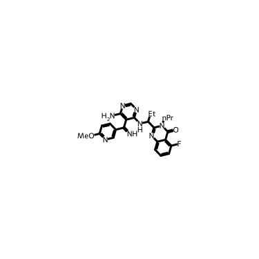 CCCn1c(C(CC)Nc2ncnc(N)c2C(=N)c2ccc(OC)nc2)nc2cccc(F)c2c1=O